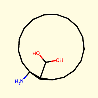 NC12CCCCCCCCCCCCCCC(C1)C2C(O)O